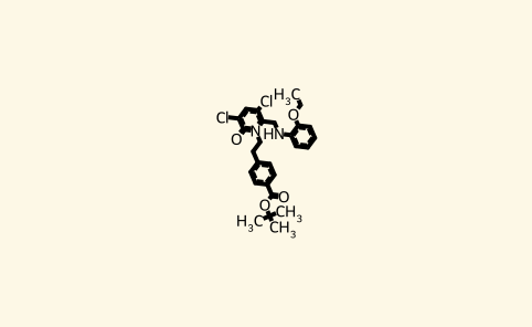 CCOc1ccccc1NCc1c(Cl)cc(Cl)c(=O)n1CCc1ccc(C(=O)OC(C)(C)C)cc1